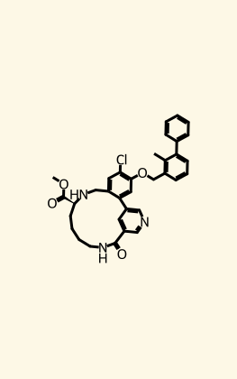 COC(=O)[C@@H]1CCCCNC(=O)c2cncc(c2)-c2cc(OCc3cccc(-c4ccccc4)c3C)c(Cl)cc2CN1